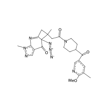 COc1ncc(C(=O)C2CCN(C(=O)CC3(C)CC4=Nc5c(cnn5C)C(=O)C43N=[N+]=[N-])CC2)cc1C